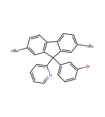 CCCCc1ccc2c(c1)C(c1cccc(Br)c1)(c1ccccn1)c1cc(CCCC)ccc1-2